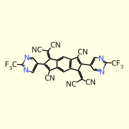 N#CC(C#N)=C1C(c2cnc(C(F)(F)F)nc2)=C(C#N)c2cc3c(cc21)C(C#N)=C(c1cnc(C(F)(F)F)nc1)C3=C(C#N)C#N